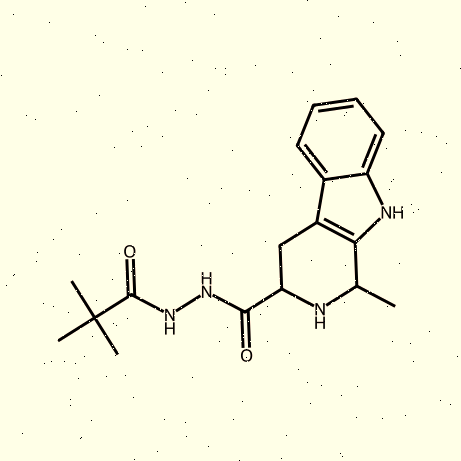 CC1NC(C(=O)NNC(=O)C(C)(C)C)Cc2c1[nH]c1ccccc21